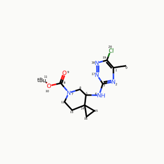 Cc1nc(NC2CN(C(=O)OC(C)(C)C)CCC23CC3)nnc1Cl